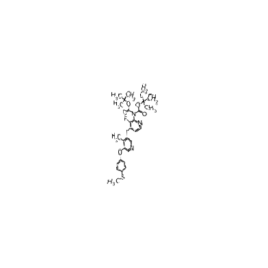 CSc1ccc(Oc2cncc(Cc3ccnc(N(C(=O)OC(C)(C)C)C(=O)OC(C)(C)C)c3F)c2C)cc1